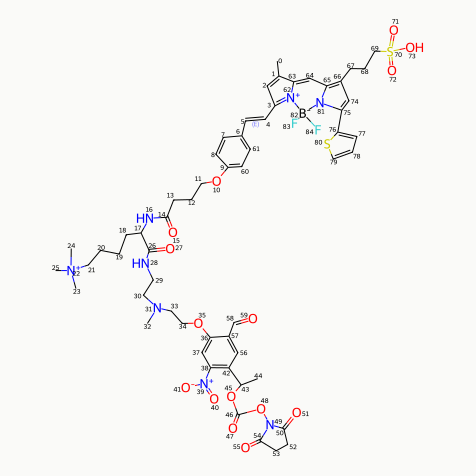 CC1=CC(/C=C/c2ccc(OCCCC(=O)NC(CCCC[N+](C)(C)C)C(=O)NCCN(C)CCOc3cc([N+](=O)[O-])c(C(C)OC(=O)ON4C(=O)CCC4=O)cc3C=O)cc2)=[N+]2C1=Cc1c(CCCS(=O)(=O)O)cc(-c3cccs3)n1[B-]2(F)F